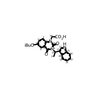 CC(C)COc1ccc2c(c1)c(=O)n(C(C)c1c[nH]c3ccccc13)c(=O)n2CC(=O)O